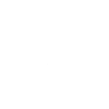 CCCCC(CC)CC(=O)C1(COC)C=CC=C1